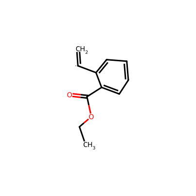 C=[C]c1ccccc1C(=O)OCC